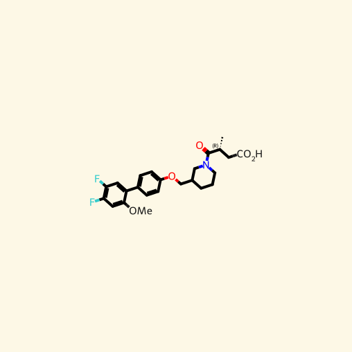 COc1cc(F)c(F)cc1-c1ccc(OCC2CCCN(C(=O)[C@H](C)CC(=O)O)C2)cc1